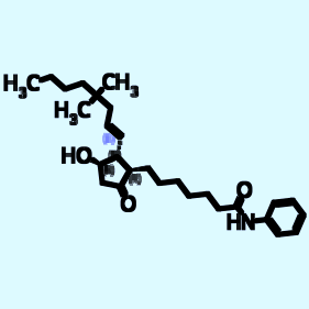 CCCCC(C)(C)C/C=C/[C@H]1[C@H](O)CC(=O)[C@@H]1CCCCCCC(=O)Nc1ccccc1